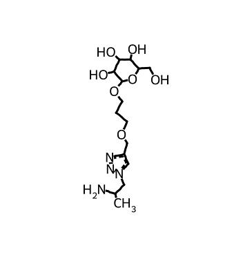 CC(N)Cn1cc(COCCCOC2OC(CO)C(O)C(O)C2O)nn1